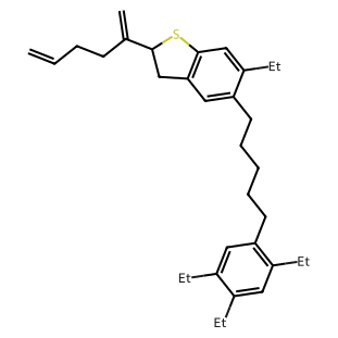 C=CCCC(=C)C1Cc2cc(CCCCCc3cc(CC)c(CC)cc3CC)c(CC)cc2S1